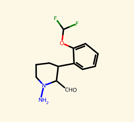 NN1CCCC(c2ccccc2OC(F)F)C1C=O